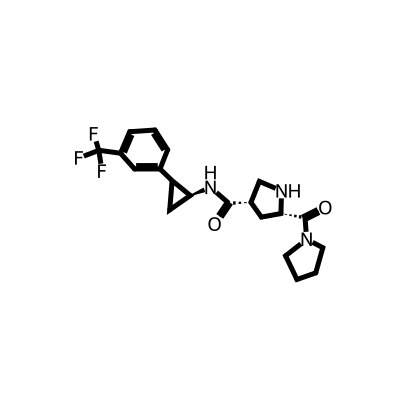 O=C(N[C@H]1CC1c1cccc(C(F)(F)F)c1)[C@@H]1CN[C@H](C(=O)N2CCCC2)C1